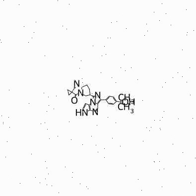 CC(C)(O)c1ccc(-c2nc([C@@H]3CCCN(C(=O)C4(C#N)CC4)C3)n3c2cnc2[nH]ccc23)cc1